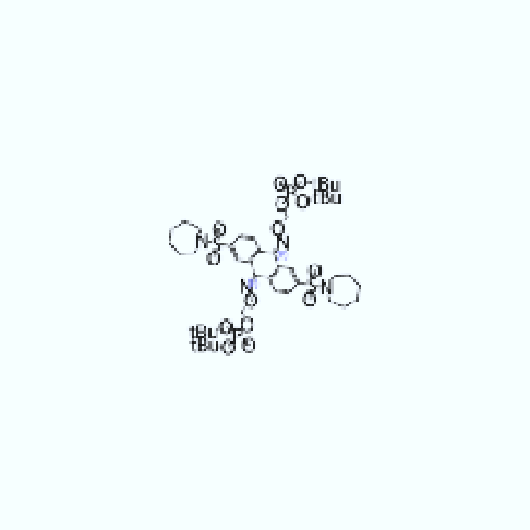 CC(C)(C)OP(=O)(OCO/N=C1\c2ccc(S(=O)(=O)N3CCCCCC3)cc2/C(=N/OCOP(=O)(OC(C)(C)C)OC(C)(C)C)c2ccc(S(=O)(=O)N3CCCCCC3)cc21)OC(C)(C)C